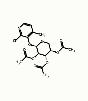 CC(=O)O[C@@H]1[C@@H](OC(C)=O)[C@@H](Oc2c(C)ccnc2Cl)SC[C@H]1OC(C)=O